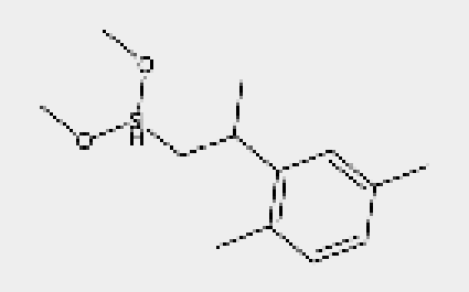 CO[SiH](CC(C)c1cc(C)ccc1C)OC